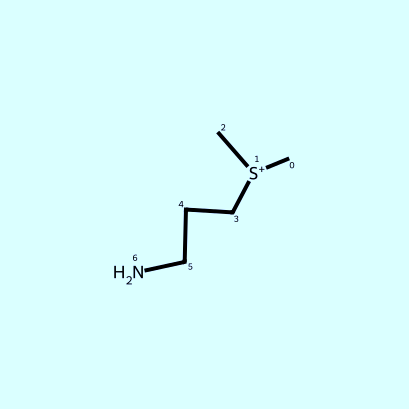 C[S+](C)CCCN